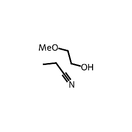 CCC#N.COCCO